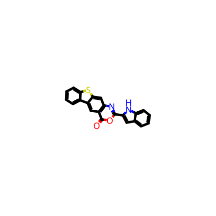 O=c1oc(-c2cc3ccccc3[nH]2)nc2cc3sc4ccccc4c3cc12